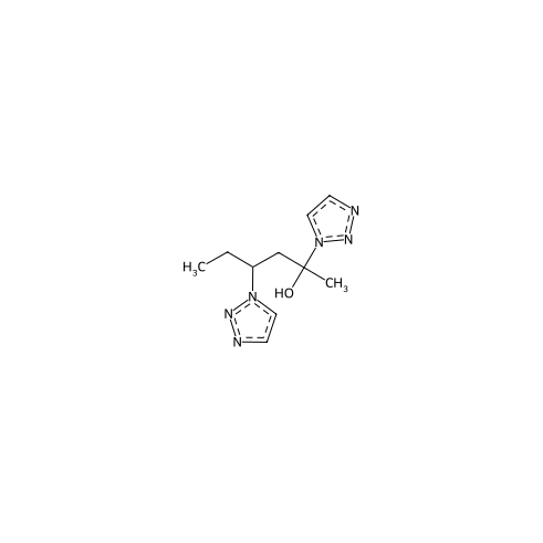 CCC(CC(C)(O)n1ccnn1)n1ccnn1